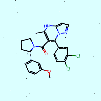 COc1cccc([C@@H]2CCCN2C(=O)C2=C(C)Nc3ccnn3C2c2ccc(Cl)c(Cl)c2)c1